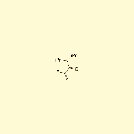 C=C(F)C(=O)N(C(C)C)C(C)C